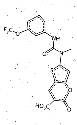 CN(C(=O)Nc1cccc(OC(F)(F)F)c1)c1cc2oc(=O)c(C(=O)O)cc2s1